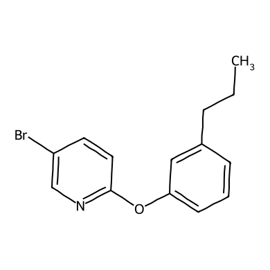 CCCc1cccc(Oc2ccc(Br)cn2)c1